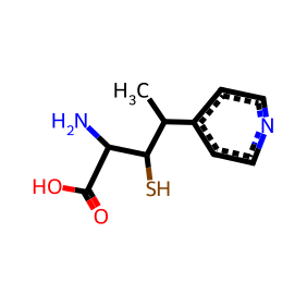 CC(c1ccncc1)C(S)C(N)C(=O)O